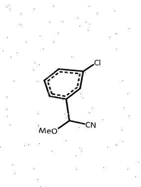 COC(C#N)c1cccc(Cl)c1